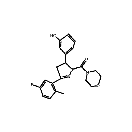 O=C(N1CCOCC1)N1N=C(c2cc(F)ccc2F)CC1c1cccc(O)c1